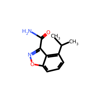 CC(C)c1cccc2onc(C(N)=O)c12